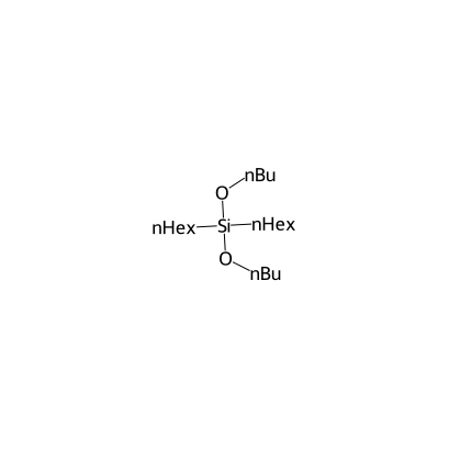 CCCCCC[Si](CCCCCC)(OCCCC)OCCCC